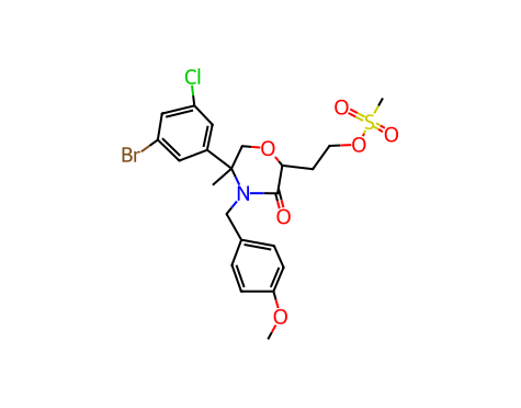 COc1ccc(CN2C(=O)C(CCOS(C)(=O)=O)OCC2(C)c2cc(Cl)cc(Br)c2)cc1